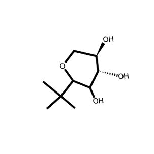 CC(C)(C)C1OC[C@@H](O)[C@H](O)C1O